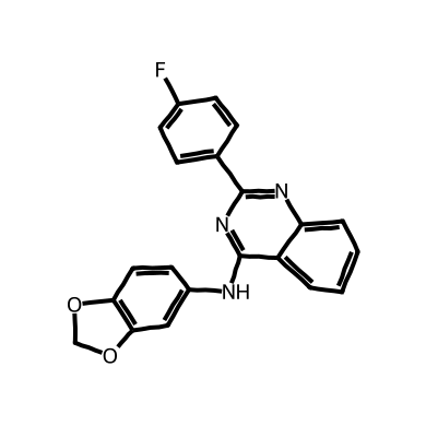 Fc1ccc(-c2nc(Nc3ccc4c(c3)OCO4)c3ccccc3n2)cc1